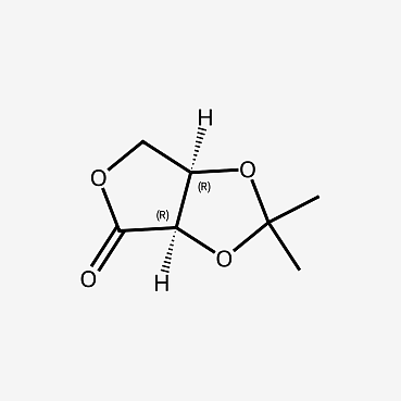 CC1(C)O[C@@H]2COC(=O)[C@@H]2O1